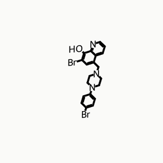 Oc1c(Br)cc(CN2CCN(c3ccc(Br)cc3)CC2)c2cccnc12